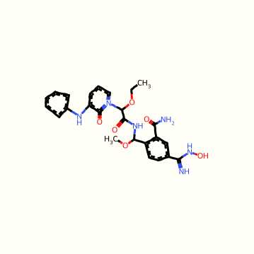 CCOC(C(=O)NC(OC)c1ccc(C(=N)NO)cc1C(N)=O)n1cccc(Nc2ccccc2)c1=O